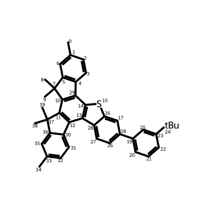 Cc1ccc2c(c1)C(C)(C)c1c3c(c4c(sc5cc(-c6cccc(C(C)(C)C)c6)ccc54)c1-2)-c1ccc(C)cc1C3(C)C